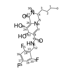 CCCCC1CN2C=C(C(=O)NCc3c(F)cc(F)cc3F)C(O)C(O)=C2C(=O)N1C